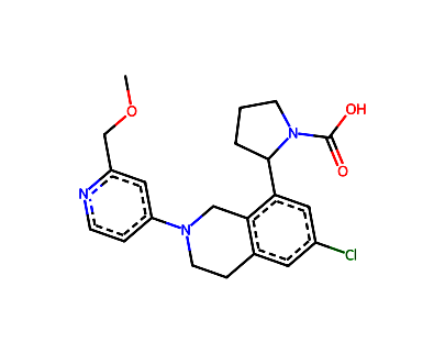 COCc1cc(N2CCc3cc(Cl)cc(C4CCCN4C(=O)O)c3C2)ccn1